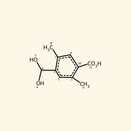 Cc1cc(C(O)O)c(C)cc1C(=O)O